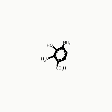 Nc1ccc(C(=O)O)c(N)c1O